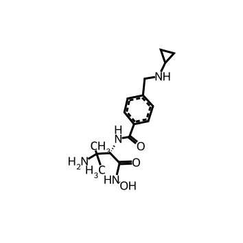 CC(C)(N)[C@H](NC(=O)c1ccc(CNC2CC2)cc1)C(=O)NO